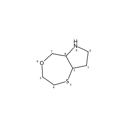 C1CC2SCCOCC2N1